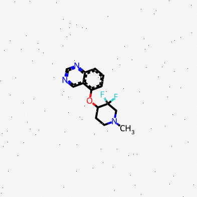 CN1CCC(Oc2cccc3ncncc23)C(F)(F)C1